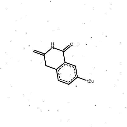 C=C1Cc2ccc(C(C)(C)C)cc2C(=O)N1